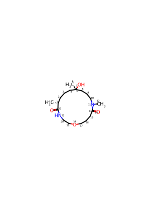 C[C@@H]1CCC[C@](C)(O)CCCN(C)C(=O)CCCOCCNC1=O